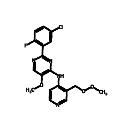 COOCc1cnccc1Nc1nc(-c2cc(Cl)ccc2F)ncc1OC